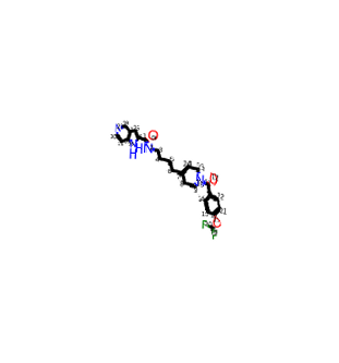 O=C(NCCCCC1CCN(C(=O)c2ccc(OC(F)F)cc2)CC1)c1cc2cnccc2[nH]1